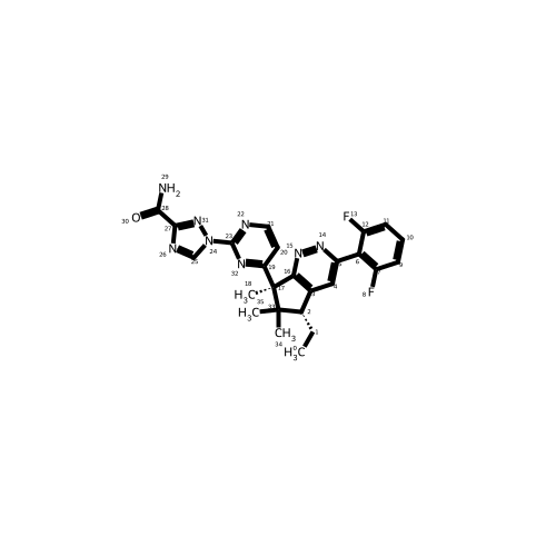 CC[C@H]1c2cc(-c3c(F)cccc3F)nnc2[C@](C)(c2ccnc(-n3cnc(C(N)=O)n3)n2)C1(C)C